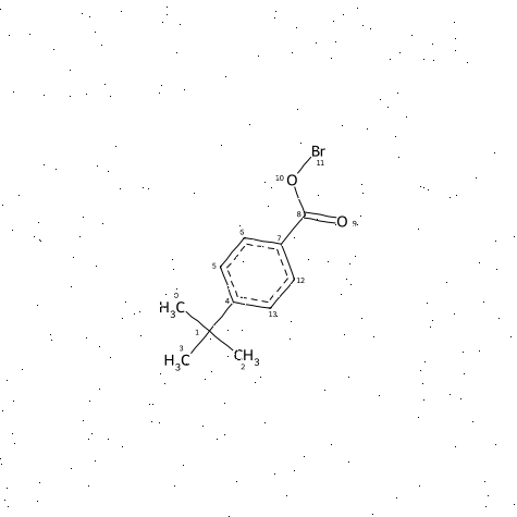 CC(C)(C)c1ccc(C(=O)OBr)cc1